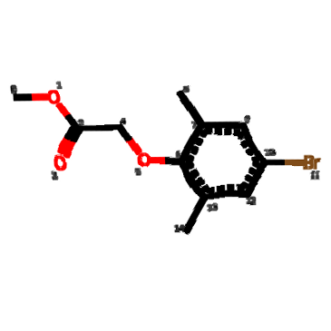 COC(=O)COc1c(C)cc(Br)cc1C